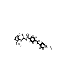 CN1CC[N+](C)=C1SCCN(C)c1ccc(/C=C/c2cc[n+](C)cc2)cc1